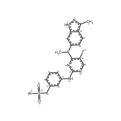 Cc1n[nH]c2cc(N(C)c3nc(Nc4cccc(CS(=O)(=O)C(C)C)c4)ncc3F)ccc12